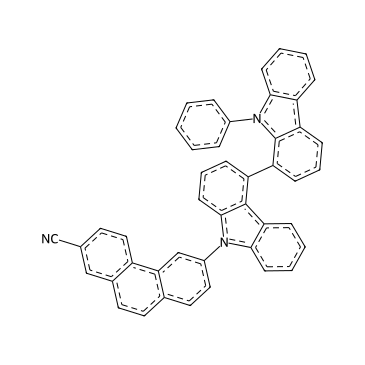 N#Cc1ccc2c(ccc3ccc(-n4c5ccccc5c5c(-c6cccc7c8ccccc8n(-c8ccccc8)c67)cccc54)cc32)c1